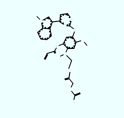 C=CC(=O)Nc1cc(Nc2nccc(-c3cn(C)c4ccccc34)n2)c(OC)cc1N(C)CCNC(=O)COC(N)=O